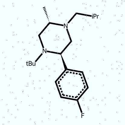 CC(C)CN1C[C@@H](c2ccc(F)cc2)N(C(C)(C)C)C[C@@H]1C